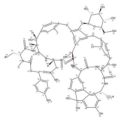 Cc1cc2ccc1Oc1cc3cc(c1O[C@@H]1O[C@H](CO)[C@@H](O)[C@H](O)[C@H]1O)Oc1ccc(cc1Cl)[C@@H](O)[C@@H]1NC(=O)[C@H](NC(=O)[C@@H]3NC(=O)[C@H](CC(N)=O)NC(=O)[C@H](NC(=O)[C@@H](CC(C)C)N(C)C(=O)OCc3ccc([N+](=O)[O-])cc3)[C@@H]2O)c2ccc3c(c2)-c2c(cc(O)cc2C3(O)O)[C@@H](C(=O)O)NC1=O